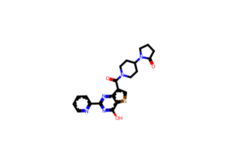 O=C(c1csc2c(O)nc(-c3ccccn3)nc12)N1CCC(N2CCCC2=O)CC1